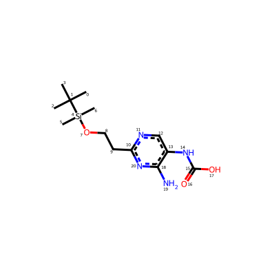 CC(C)(C)[Si](C)(C)OCCc1ncc(NC(=O)O)c(N)n1